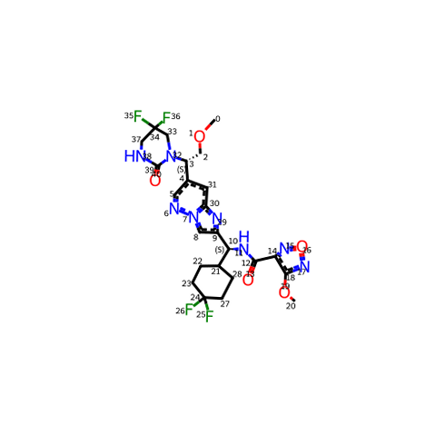 COC[C@H](c1cnn2cc([C@@H](NC(=O)c3nonc3OC)C3CCC(F)(F)CC3)nc2c1)N1CC(F)(F)CNC1=O